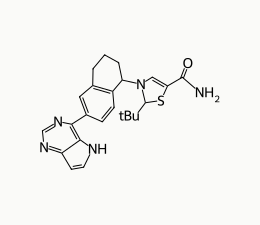 CC(C)(C)C1SC(C(N)=O)=CN1C1CCCc2cc(-c3ncnc4cc[nH]c34)ccc21